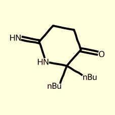 CCCCC1(CCCC)NC(=N)CCC1=O